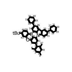 Cc1cc(C)c(-c2cc3c4c(c2)-n2c5ccc(-c6ccccc6)cc5c5cc(-c6ccccc6)cc(c52)B4c2ccc(C(C)(C)C)cc2O3)c(C)c1